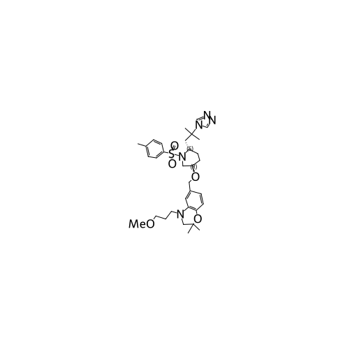 COCCCN1CC(C)(C)Oc2ccc(CO[C@@H]3CC[C@@H](CC(C)(C)n4cnnc4)N(S(=O)(=O)c4ccc(C)cc4)C3)cc21